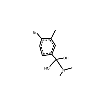 Cc1cc(C(O)(O)N(C)C)ccc1Br